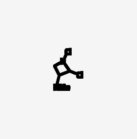 CNC1CN(Cl)C1Cl